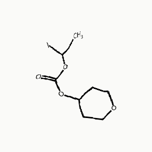 CC(I)OC(=O)OC1CCOCC1